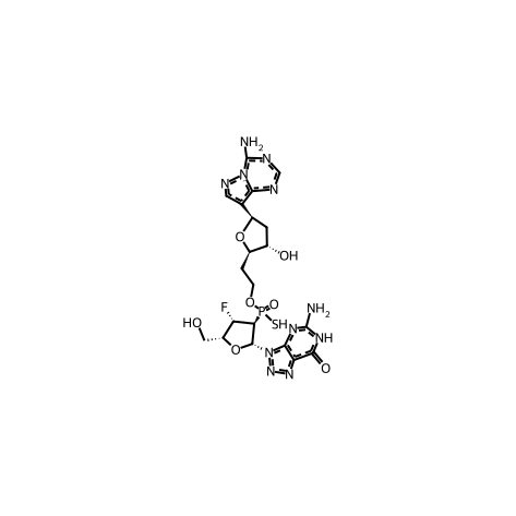 Nc1nc2c(nnn2[C@@H]2O[C@H](CO)[C@H](F)[C@H]2P(=O)(S)OCC[C@H]2O[C@@H](c3cnn4c(N)ncnc34)C[C@@H]2O)c(=O)[nH]1